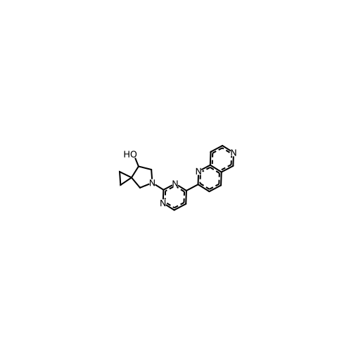 OC1CN(c2nccc(-c3ccc4cnccc4n3)n2)CC12CC2